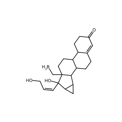 BCC12CCC3C4CCC(=O)C=C4CCC3C1C1CC1C2(O)/C=C\CO